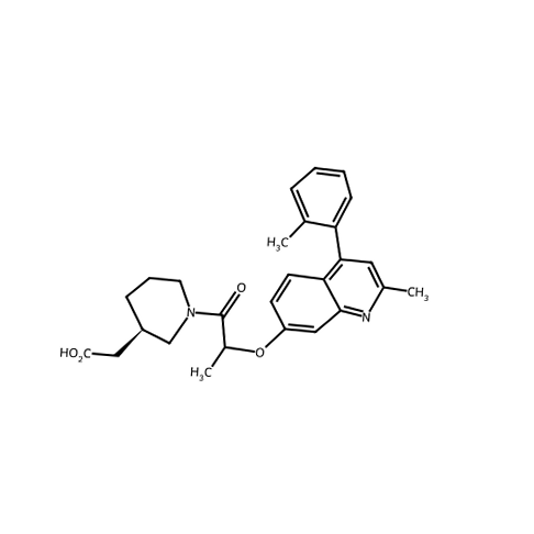 Cc1cc(-c2ccccc2C)c2ccc(OC(C)C(=O)N3CCC[C@H](CC(=O)O)C3)cc2n1